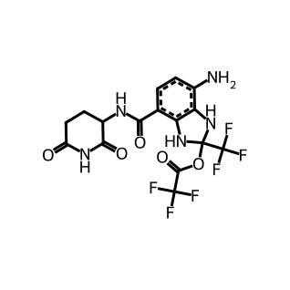 Nc1ccc(C(=O)NC2CCC(=O)NC2=O)c2c1NC(OC(=O)C(F)(F)F)(C(F)(F)F)N2